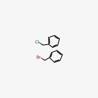 BrCc1ccccc1.ClCc1ccccc1